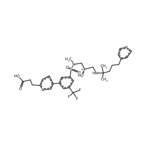 CN(C[C@H](O)CNC(C)(C)CCCc1ccncc1)S(=O)(=O)c1cc(-c2ccc(CCC(=O)O)nc2)cc(C(F)(F)F)c1